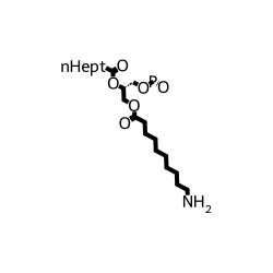 CCCCCCCC(=O)O[C@H](COP=O)COC(=O)CCCCCCCCCN